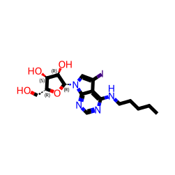 CCCCCNc1ncnc2c1c(I)cn2[C@@H]1O[C@H](CO)[C@@H](O)[C@H]1O